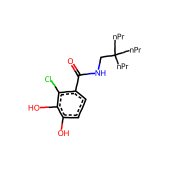 CCCC(CCC)(CCC)CNC(=O)c1ccc(O)c(O)c1Cl